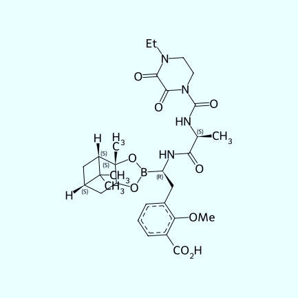 CCN1CCN(C(=O)N[C@@H](C)C(=O)N[C@@H](Cc2cccc(C(=O)O)c2OC)B2OC3C[C@@H]4C[C@@H](C4(C)C)[C@]3(C)O2)C(=O)C1=O